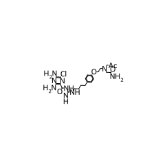 CC(=O)CN(CCOc1ccc(CCCCNC(=N)NC(=O)c2nc(Cl)c(N)nc2N)cc1)CC(N)=O